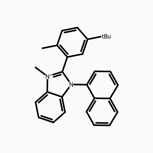 Cc1ccc(C(C)(C)C)cc1-c1n(-c2cccc3ccccc23)c2ccccc2[n+]1C